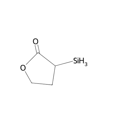 O=C1OCCC1[SiH3]